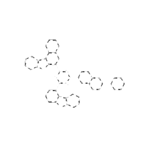 c1ccc(-c2ccc3cc(-c4nc(-c5cc6ccccc6c6c5oc5ccccc56)nc(-c5cccc6oc7ccccc7c56)n4)ccc3c2)cc1